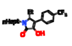 CCCCCCCN1C(=O)C(O)=C(c2ccc(C(F)(F)F)cc2)C1CC